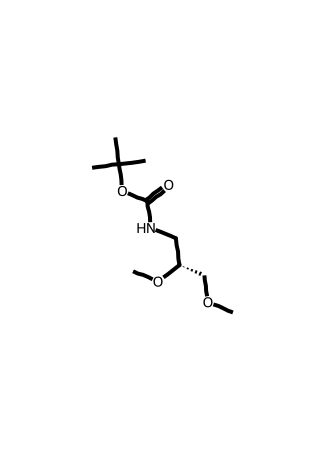 COC[C@@H](CNC(=O)OC(C)(C)C)OC